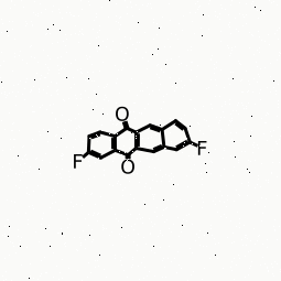 O=C1c2ccc(F)cc2C(=O)c2cc3cc(F)ccc3cc21